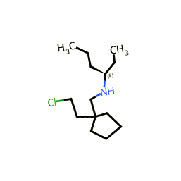 CCC[C@@H](CC)NCC1(CCCl)CCCC1